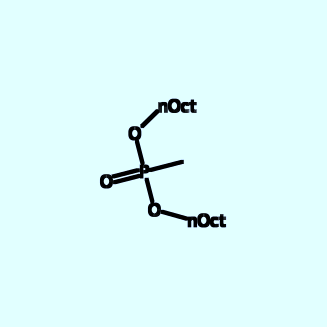 CCCCCCCCOP(C)(=O)OCCCCCCCC